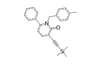 Cc1ccc(Cn2c(-c3ccccc3)ccc(C#C[Si](C)(C)C)c2=O)cc1